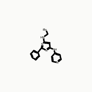 CCC(C)CNc1cc(Nc2ccncc2)nc(-c2ccccc2)n1